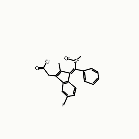 CC1=C(CC(=O)Cl)c2cc(F)ccc2C1=C(c1ccccc1)[S+](C)[O-]